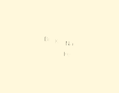 [Bi].[Fe].[K].[Na]